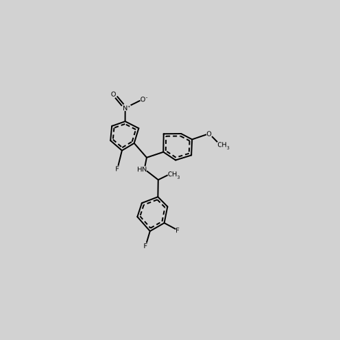 COc1ccc(C(NC(C)c2ccc(F)c(F)c2)c2cc([N+](=O)[O-])ccc2F)cc1